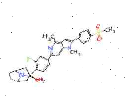 CCN1C2CCC1CC(O)(c1ccc(-c3cc4c(cc(-c5ccc(S(C)(=O)=O)cc5)n4C)c(C)n3)cc1F)C2